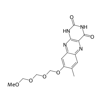 COCOCOCOc1cc2nc3[nH]c(=O)[nH]c(=O)c3nc2cc1C